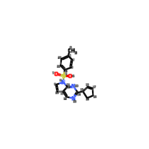 Cc1ccc(S(=O)(=O)n2ccc3cnc(C4C=CCC4)nc32)cc1